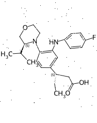 CC[C@@H](CC(=O)O)c1ccc(N2CCOC[C@@H]2C(C)C)c(Nc2ccc(F)cc2)c1